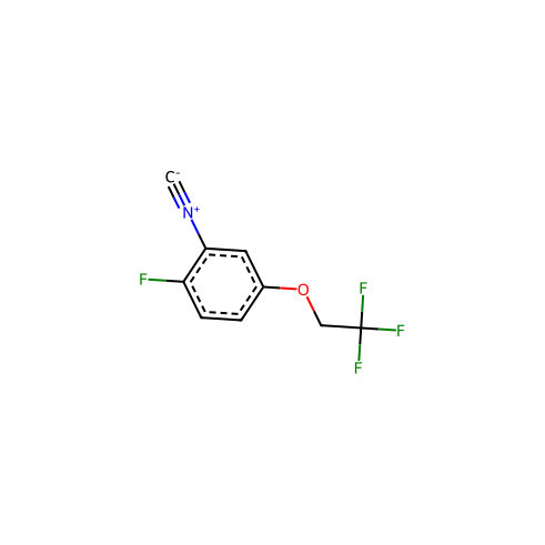 [C-]#[N+]c1cc(OCC(F)(F)F)ccc1F